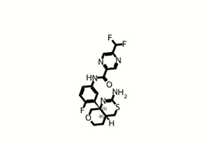 NC1=N[C@@]2(c3cc(NC(=O)c4cnc(C(F)F)cn4)ccc3F)COCC[C@H]2CS1